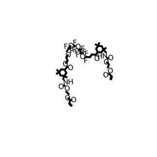 C=CC(=O)OCCOC(=O)NCC1(C)CC(C(=O)CCC(F)(F)OC(F)(F)C(F)(F)OC(F)(F)OC(F)(F)COCCOC(=O)C2CC(C)(C)CC(C)(CNC(=O)OCCOC(=O)C=C)C2)CC(C)(C)C1